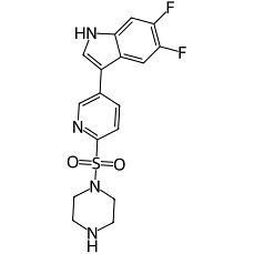 O=S(=O)(c1ccc(-c2c[nH]c3cc(F)c(F)cc23)cn1)N1CCNCC1